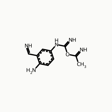 CC(=N)OC(=N)Nc1ccc(N)c(C=N)c1